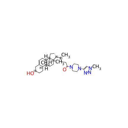 C[C@H](CCC(=O)N1CCN(c2cn(C)nn2)CC1)[C@H]1CC[C@H]2[C@@H]3CC=C4C[C@@H](O)CC[C@]4(C)[C@H]3CC[C@]12C